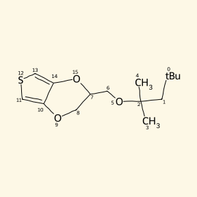 CC(C)(C)CC(C)(C)OCC1COc2cscc2O1